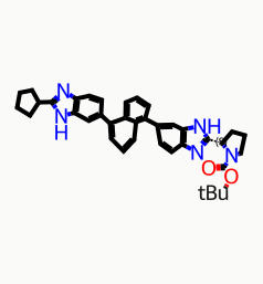 CC(C)(C)OC(=O)N1CCC[C@H]1c1nc2ccc(-c3cccc4c(-c5ccc6nc(C7CCCC7)[nH]c6c5)cccc34)cc2[nH]1